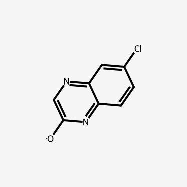 [O]c1cnc2cc(Cl)ccc2n1